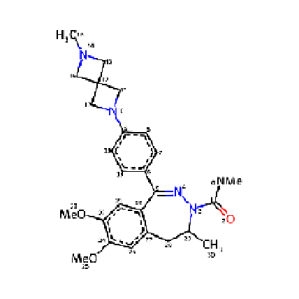 CNC(=O)N1N=C(c2ccc(N3CC4(CN(C)C4)C3)cc2)c2cc(OC)c(OC)cc2CC1C